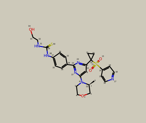 C[C@H]1COCCN1c1cc(C2(S(=O)(=O)c3ccncc3)CC2)nc(-c2ccc(NC(=S)NCCO)cc2)n1